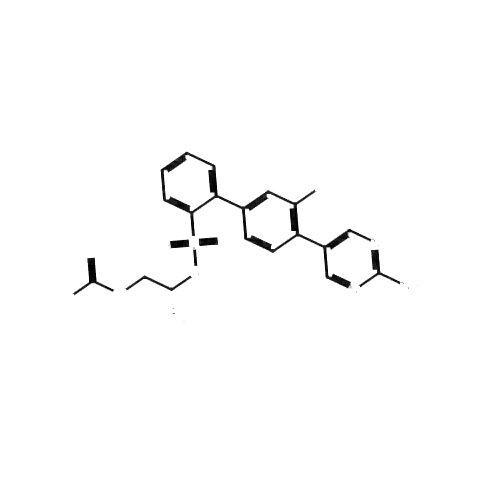 CC(C)(C)[C@H](COC(=O)C(F)(F)F)NS(=O)(=O)c1ccccc1-c1ccc(-c2cnc(N)nc2)c(F)c1